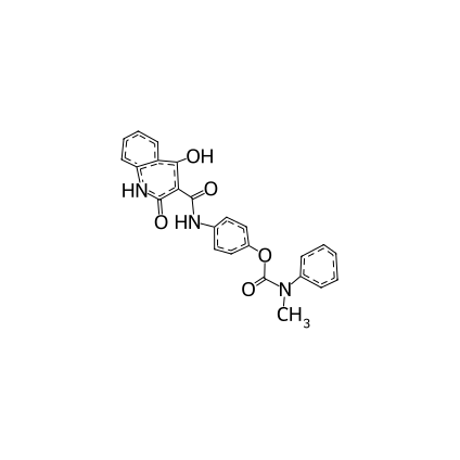 CN(C(=O)Oc1ccc(NC(=O)c2c(O)c3ccccc3[nH]c2=O)cc1)c1ccccc1